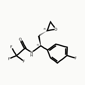 O=C(N[C@@H](C[C@@H]1CO1)c1ccc(F)cc1)C(F)(F)F